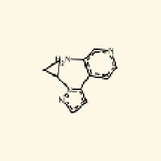 Nc1cnccc1-c1ccnn1C1CC1